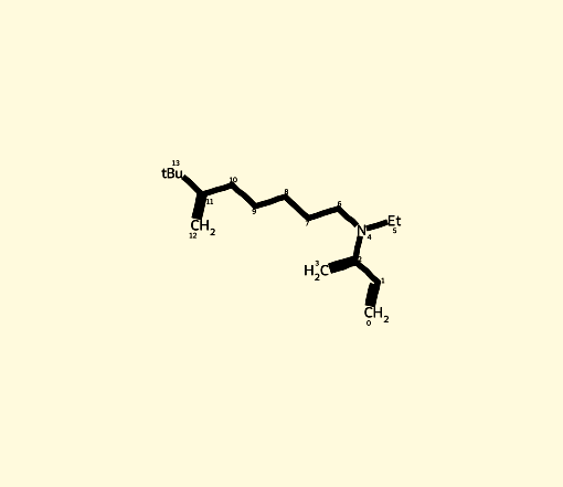 C=CC(=C)N(CC)CCCCCC(=C)C(C)(C)C